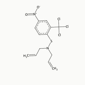 C=CCN(CC=C)Sc1ccc([N+](=O)[O-])cc1C(Cl)(Cl)Cl